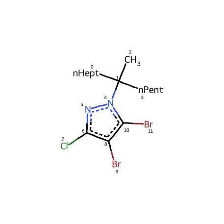 CCCCCCCC(C)(CCCCC)n1nc(Cl)c(Br)c1Br